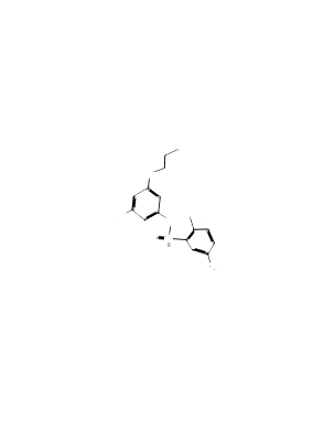 Cc1cc(OCCC=O)cc(OS(=O)(=O)c2cc([N+](=O)[O-])ccc2C)c1